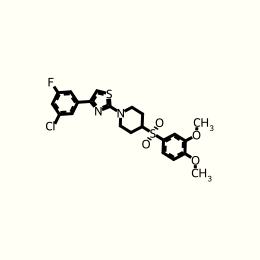 COc1ccc(S(=O)(=O)C2CCN(c3nc(-c4cc(F)cc(Cl)c4)cs3)CC2)cc1OC